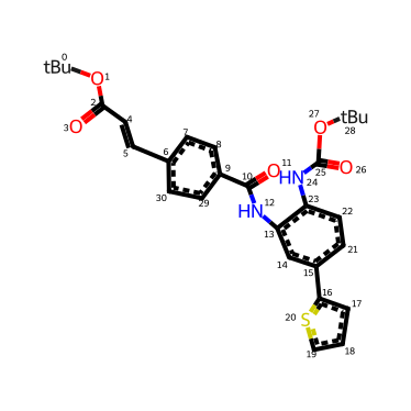 CC(C)(C)OC(=O)/C=C/c1ccc(C(=O)Nc2cc(-c3cccs3)ccc2NC(=O)OC(C)(C)C)cc1